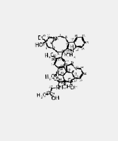 CCC1(O)CC2C[N@](CCc3c([nH]c4ccccc34)[C@@](C)(c3cc4c(cc3C)N(C)C3C45CCN4CC=C[C@](CC)(C45)[C@@H](O)[C@]3(O)C(=O)NC[C@H](C)O)C2)C1